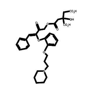 O=C(O)CC(O)(CC(=O)OCC(=O)C(=Cc1ccccc1)Oc1ccccc1OCCCN1CCCCC1)C(=O)O